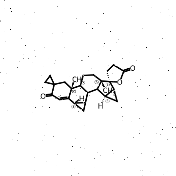 C[C@]12CC3(CC3)C(=O)C=C1[C@H]1CC1C1C2CC[C@@]2(C)C1[C@@H]1CC1[C@@]21CCC(=O)O1